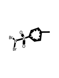 Cc1ccc(S(=O)(=O)N(Br)Br)cc1